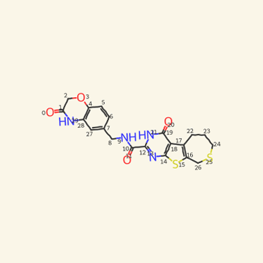 O=C1COc2ccc(CNC(=O)c3nc4sc5c(c4c(=O)[nH]3)CCCSC5)cc2N1